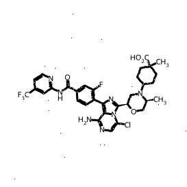 C[C@H]1CO[C@@H](c2nc(-c3ccc(C(=O)Nc4cc(C(F)(F)F)ccn4)cc3F)c3c(N)ncc(Cl)n23)CN1C1CCC(C)(C(=O)O)CC1